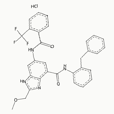 COCc1nc2c(C(=O)Nc3ccccc3Cc3ccccc3)cc(NC(=O)c3ccccc3C(F)(F)F)cc2[nH]1.Cl